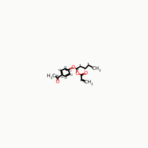 C=CC(=O)OC(CCCC)Oc1ccc(C(C)=O)cc1